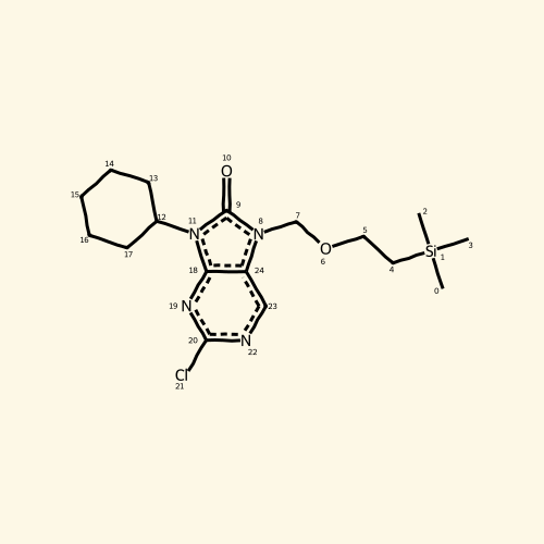 C[Si](C)(C)CCOCn1c(=O)n(C2CCCCC2)c2nc(Cl)ncc21